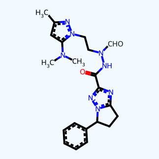 Cc1cc(N(C)C)n(CCN(C=O)NC(=O)c2nc3n(n2)C(c2ccccc2)CC3)n1